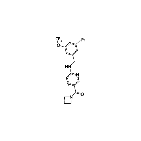 CC(C)c1cc(CNc2cnc(C(=O)N3CCC3)cn2)cc(OC(F)(F)F)c1